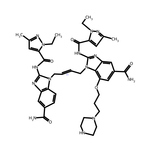 CCn1nc(C)cc1C(=O)Nc1nc2cc(C(N)=O)ccc2n1C/C=C/Cn1c(NC(=O)c2cc(C)nn2CC)nc2cc(C(N)=O)cc(OCCCN3CCNCC3)c21